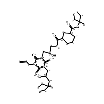 C=CCn1c(=O)n(CC(O)COC(=O)C2CCCC(C(=O)OC(C)(CC)CC)C2)c(=O)n(CC(O)CC(C)(CC)CC)c1=O